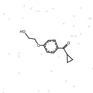 O=C(c1ccc(OCCO)cc1)C1CC1